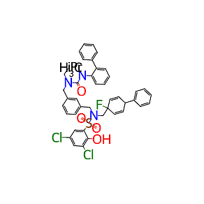 CC(C)CN(Cc1cccc(CN(CC2(F)C=CC(c3ccccc3)C=C2)S(=O)(=O)c2cc(Cl)cc(Cl)c2O)c1)C(=O)N(C)c1ccccc1-c1ccccc1